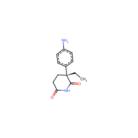 CC[C@]1(c2ccc(N)cc2)CCC(=O)NC1=O